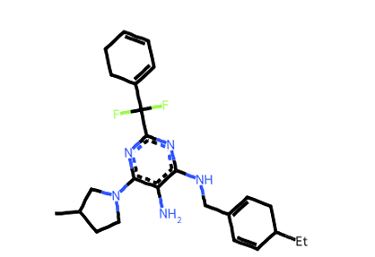 CCC1C=CC(CNc2nc(C(F)(F)C3=CC=CCC3)nc(N3CCC(C)C3)c2N)=CC1